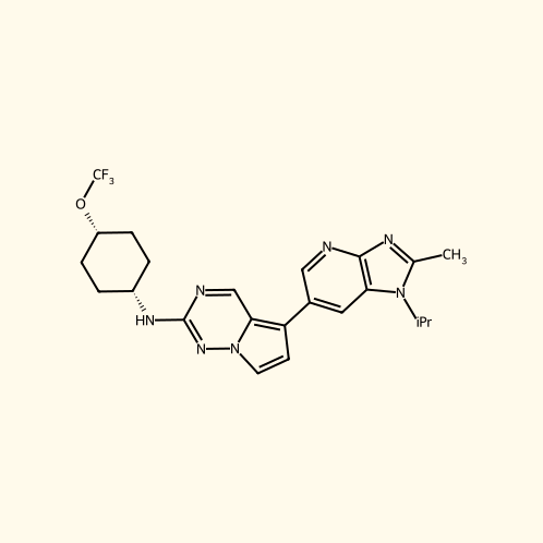 Cc1nc2ncc(-c3ccn4nc(N[C@H]5CC[C@@H](OC(F)(F)F)CC5)ncc34)cc2n1C(C)C